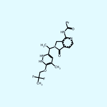 CC1=C(OCC(C)(F)F)NNC(C(C)N2Cc3c(ccnc3NC(=O)C(C)C)C2=O)=C1